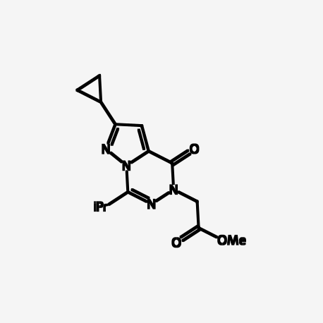 COC(=O)Cn1nc(C(C)C)n2nc(C3CC3)cc2c1=O